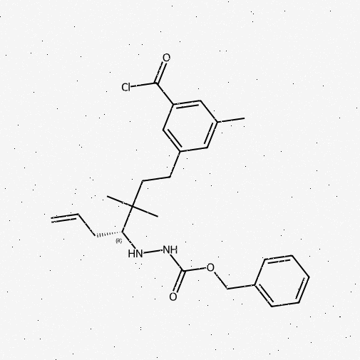 C=CC[C@@H](NNC(=O)OCc1ccccc1)C(C)(C)CCc1cc(C)cc(C(=O)Cl)c1